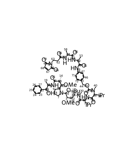 CC[C@H](C)[C@@H]([C@@H](CC(=O)N1CCC[C@H]1[C@H](OC)[C@@H](C)C(=O)N[C@H](C)[C@@H](O)c1ccccc1)OC)N(C)C(=O)[C@@H](NC(=O)[C@H](C(C)C)N(C)C(=O)OCc1ccc(NC(=O)[C@H](C)NC(=O)[C@H](C)NC(=O)CCN2C(=O)C=CC2=O)cc1)C(C)C